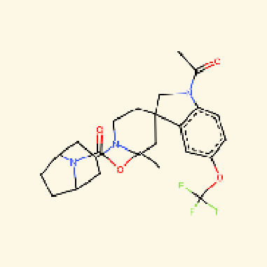 CCOC(=O)N1C2CCC1CC(N1CCC3(CC1)CN(C(C)=O)c1ccc(OC(F)(F)F)cc13)C2